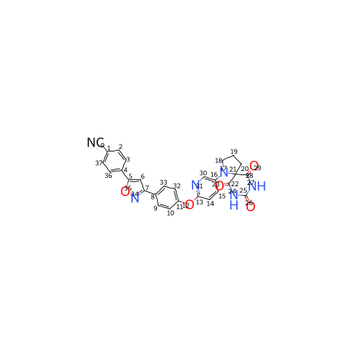 N#Cc1ccc(-c2cc(-c3ccc(Oc4ccc(N5CCCC56C(=O)NC(=O)NC6=O)cn4)cc3)no2)cc1